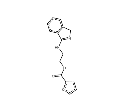 O=C(OCCNC1=NCc2ccccc21)c1ccco1